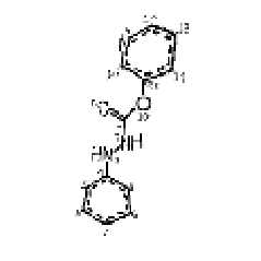 O=C(NNc1ccccc1)Oc1cccnc1